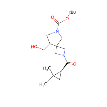 CC(C)(C)OC(=O)N1CC(CO)C2(C1)CN(C(=O)[C@H]1CC1(C)C)C2